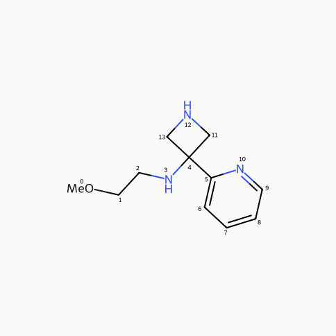 COCCNC1(c2ccccn2)CNC1